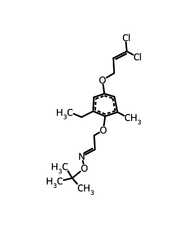 CCc1cc(OCC=C(Cl)Cl)cc(C)c1OC/C=N/OC(C)(C)C